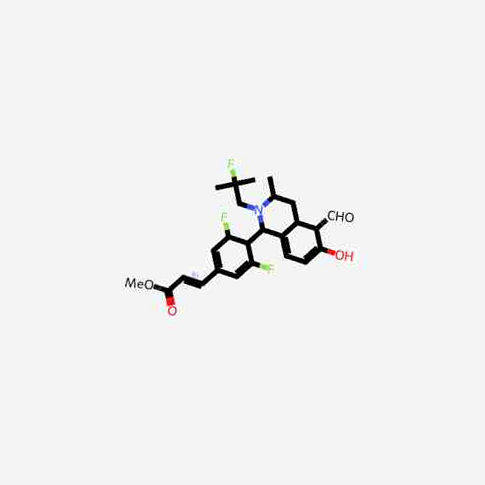 COC(=O)/C=C/C1=CC(F)C(C2C3=CC=C(O)C(C=O)C3CC(C)N2CC(C)(C)F)C(F)=C1